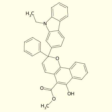 CCn1c2ccccc2c2ccc(C3(c4ccccc4)C=Cc4c(C(=O)OC)c(O)c5ccccc5c4O3)cc21